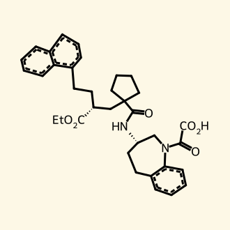 CCOC(=O)[C@H](CCc1cccc2ccccc12)CC1(C(=O)N[C@H]2CCc3ccccc3N(C(=O)C(=O)O)C2)CCCC1